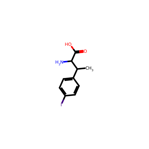 CC(c1ccc(I)cc1)C(N)C(=O)O